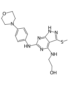 CSc1n[nH]c2nc(Nc3ccc(N4CCOCC4)cc3)nc(NCCO)c12